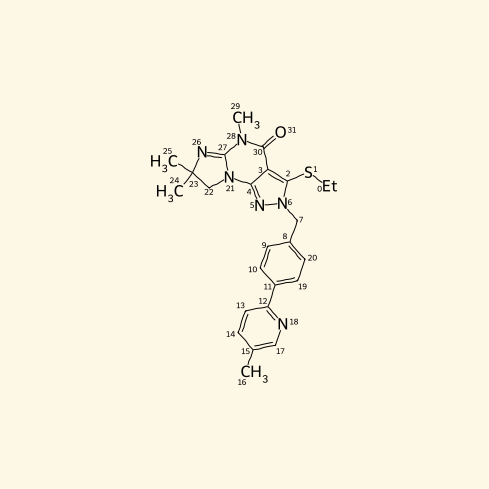 CCSc1c2c(nn1Cc1ccc(-c3ccc(C)cn3)cc1)N1CC(C)(C)N=C1N(C)C2=O